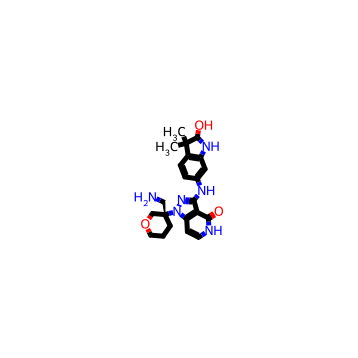 CC1(C)c2ccc(Nc3nn([C@]4(CN)CCCOC4)c4cc[nH]c(=O)c34)cc2NC1O